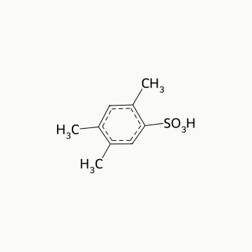 Cc1cc(C)c(S(=O)(=O)O)cc1C